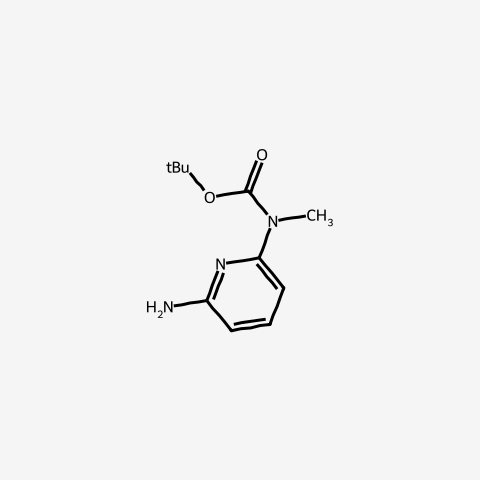 CN(C(=O)OC(C)(C)C)c1cccc(N)n1